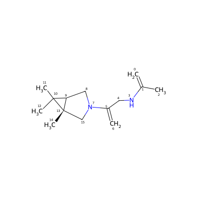 C=C(C)NCC(=C)N1CC2C(C)(C)[C@@]2(C)C1